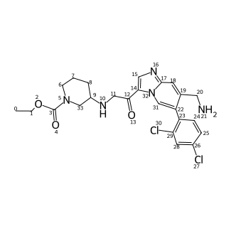 CCOC(=O)N1CCCC(NCC(=O)c2cnc3cc(CN)c(-c4ccc(Cl)cc4Cl)cn23)C1